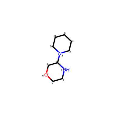 C1CCN(C2COCCN2)CC1